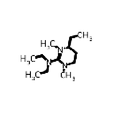 CCC1CCN(C)C(N(CC)CC)=[N+]1C